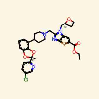 CCOC(=O)c1cc2c(nc(CN3CCC(c4cccc5c4O[C@](C)(c4ccc(Cl)cn4)O5)CC3)n2C[C@@H]2CCO2)s1